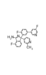 Cc1cc(C2(c3cc(-c4cncc(F)c4)ccc3F)N=C(N)c3c(F)cccc32)ccn1